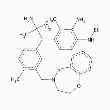 CCNc1ccc(C(c2ccc(C)c(CN3CCOc4ccccc4S3)c2)C(C)(C)N)c(C)c1N